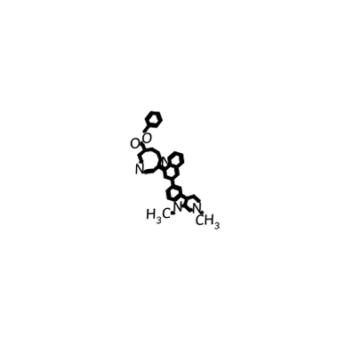 CCN1CCC2c3cc(C4C=C5C=CC=CC56N=C5CCC(C(=O)OCc7ccccc7)C/C=N/C=C\C5=C6C4)ccc3N(CC)C2C1